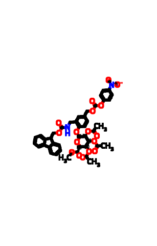 COC(=O)[C@H]1O[C@@H](Oc2ccc(COC(=O)Oc3ccc([N+](=O)[O-])cc3)cc2CNC(=O)OCC2c3ccccc3-c3ccccc32)[C@H](OC(C)=O)[C@@H](OC(C)=O)[C@@H]1OC(C)=O